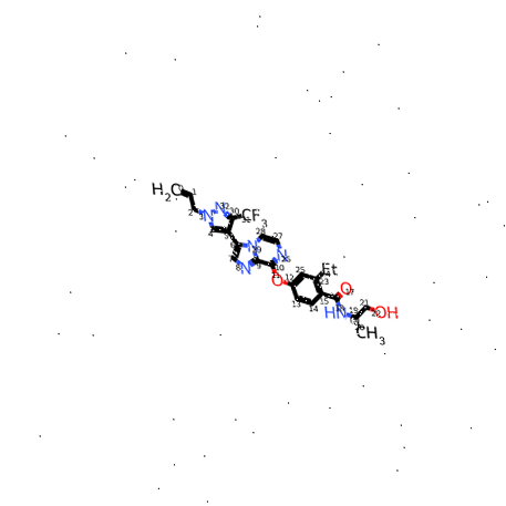 C=CCn1cc(-c2cnc3c(Oc4ccc(C(=O)N[C@@H](C)CO)c(CC)c4)nccn23)c(C(F)(F)F)n1